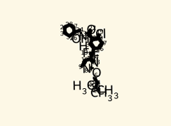 C[Si](C)(C)CCOc1nccc(C(F)(F)c2ccc(Cl)c(C(=O)NCC3(O)CCCCC3)c2)n1